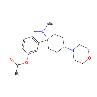 CCCCN(C)C1(c2cccc(OC(=O)CC)c2)CCC(N2CCOCC2)CC1